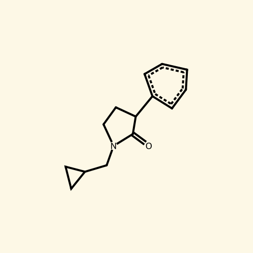 O=C1C(c2ccccc2)CCN1CC1CC1